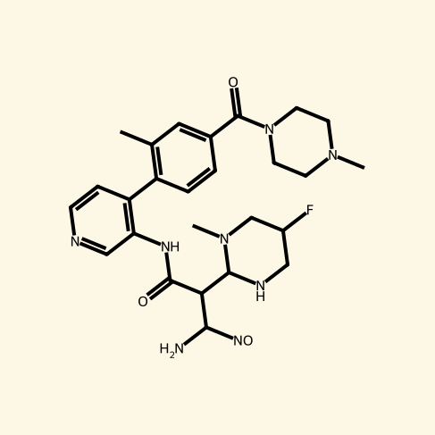 Cc1cc(C(=O)N2CCN(C)CC2)ccc1-c1ccncc1NC(=O)C(C(N)N=O)C1NCC(F)CN1C